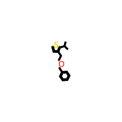 CC(C)c1sccc1CCOCc1ccccc1